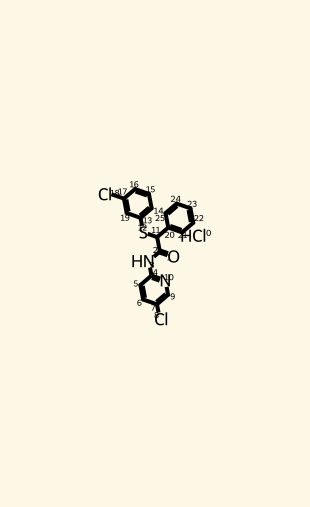 Cl.O=C(Nc1ccc(Cl)cn1)C(Sc1cccc(Cl)c1)c1ccccc1